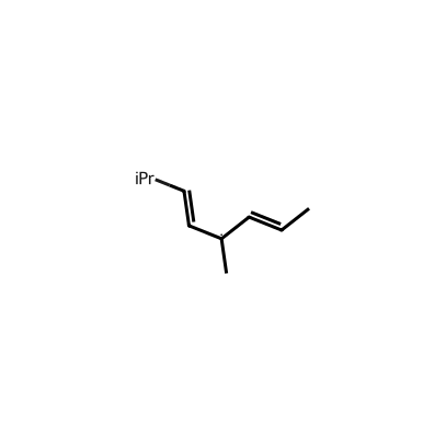 CC=C[C](C)C=CC(C)C